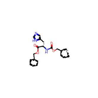 O=C(N[C@@H](Cc1cnc[nH]1)C(=O)OCc1ccccc1)OCc1ccccc1